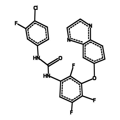 O=C(Nc1ccc(Cl)c(F)c1)Nc1cc(F)c(F)c(Oc2ccc3nccnc3c2)c1F